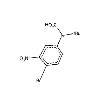 CC(C)(C)N(C(=O)O)c1ccc(Br)c([N+](=O)[O-])c1